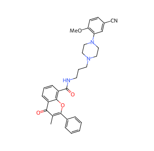 COc1ccc(C#N)cc1N1CCN(CCCNC(=O)c2cccc3c(=O)c(C)c(-c4ccccc4)oc23)CC1